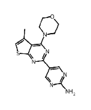 Cc1csc2nc(-c3cnc(N)nc3)nc(N3CCOCC3)c12